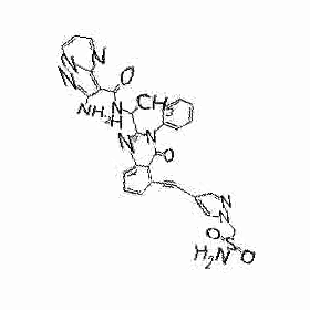 CC(NC(=O)c1c(N)nn2cccnc12)c1nc2cccc(C#Cc3cnn(CS(N)(=O)=O)c3)c2c(=O)n1-c1ccccc1